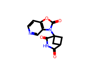 O=C1NC(=O)C2(n3c(=O)oc4ccncc43)CC1C2